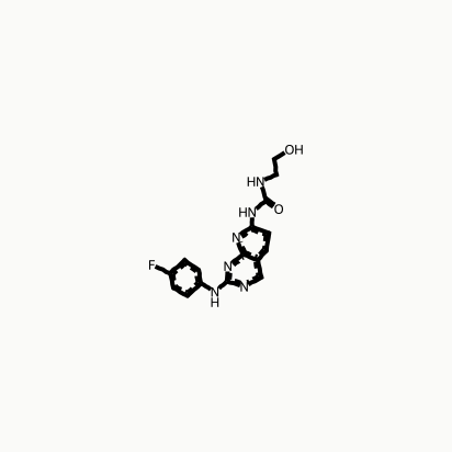 O=C(NCCO)Nc1ccc2cnc(Nc3ccc(F)cc3)nc2n1